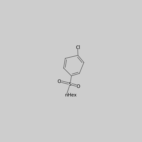 CCCCCCS(=O)(=O)c1ccc(Cl)cc1